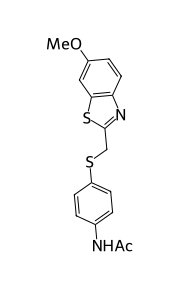 COc1ccc2nc(CSc3ccc(NC(C)=O)cc3)sc2c1